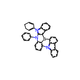 C1=CC(n2c3c(c4ccccc42)B2c4c(cccc4-n4c5ccccc5c5cccc2c54)N3c2ccccc2)=CCC1